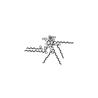 CCCCCCCCCCC[C@H](CC(=O)NCCO[C@@H]1O[C@H](CO)[C@@H](OP(=O)(O)O)[C@H](OC(=O)C[C@@H](CCCCCCCCCCC)OC(=O)CCCCCCCCC)[C@H]1NC(=O)C[C@@H](CCCCCCCCCCC)OC(=O)CCCCCCCCC)OC(=O)CCCCCCCCC